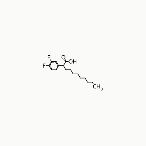 CCCCCCCCCC(C(=O)O)c1ccc(F)c(F)c1